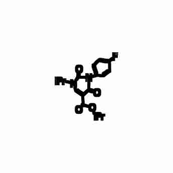 CC(C)OC(=O)c1cn(C(C)C)c(=O)n(-c2ccc(F)cc2)c1=O